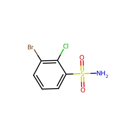 NS(=O)(=O)c1cccc(Br)c1Cl